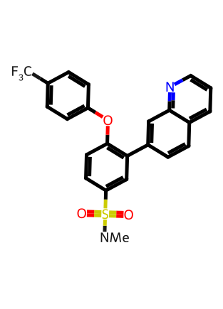 CNS(=O)(=O)c1ccc(Oc2ccc(C(F)(F)F)cc2)c(-c2ccc3cccnc3c2)c1